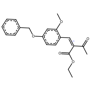 CCOC(=O)/C(=C\c1ccc(OCc2ccccc2)cc1OC)C(C)=O